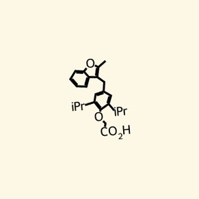 Cc1oc2ccccc2c1Cc1cc(C(C)C)c(OCC(=O)O)c(C(C)C)c1